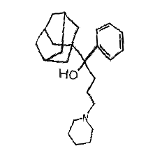 OC(CCCN1CCCCC1)(c1ccccc1)C12CC3CC(CC(C3)C1)C2